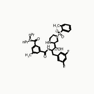 CCCN(CCC)C(=O)c1cc(C)cc(C(=O)NC(Cc2cc(F)cc(F)c2)[C@H](O)C2CN(S(=O)(=O)c3ccccc3C)CCN2)c1